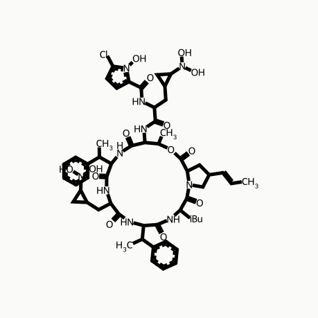 C/C=C/C1CC2C(=O)OC(C)C(NC(=O)C(CC3CC3N(O)O)NC(=O)c3ccc(Cl)n3O)C(=O)NC(C(C)c3ccccc3)C(=O)NC(CC3CC3N(O)O)C(=O)NC(C(C)c3ccccc3)C(=O)NC(C(C)CC)C(=O)N2C1